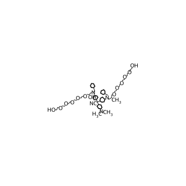 CC(COCCOCCOCCOCCOCCO)CN(Cc1ccccc1)c1ccc(C(C#N)(c2ccc(N(C)C)cc2)c2ccc(N(Cc3ccccc3)CC(O)COCCOCCOCCOCCOCCO)cc2)cc1